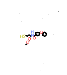 CCOCOC[C@H](CCCS)NC(=O)c1ccc(Oc2ccccc2)cc1